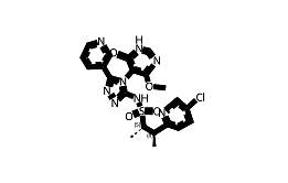 COc1nc[nH]c(=O)c1-n1c(NS(=O)(=O)[C@@H](C)[C@H](C)c2ccc(Cl)cn2)nnc1-c1cccnc1